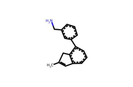 CC1=Cc2cccc(-c3cccc(CN)c3)c2C1